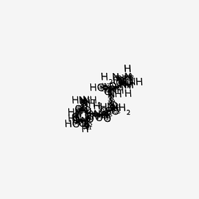 CC1(C)CNCCNC[C@](CNCCN)(NC(=O)CCCC(=O)NC(Cc2ccc(O)cc2)C(=O)NCCCCCC(=O)NC(CSC2CC(=O)N(CCC(=O)NCCCCC3NC(=O)C(Cc4ccccc4)NC(=O)C(CC(=O)O)NC(=O)CNC(=O)C(CCCNC(=N)N)NC3=O)C2=O)C(N)=O)NCCN1